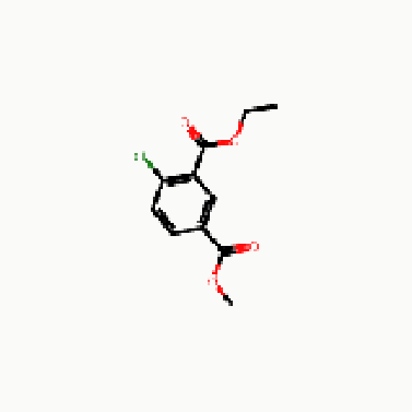 CCOC(=O)c1[c]c(C(=O)OC)ccc1Cl